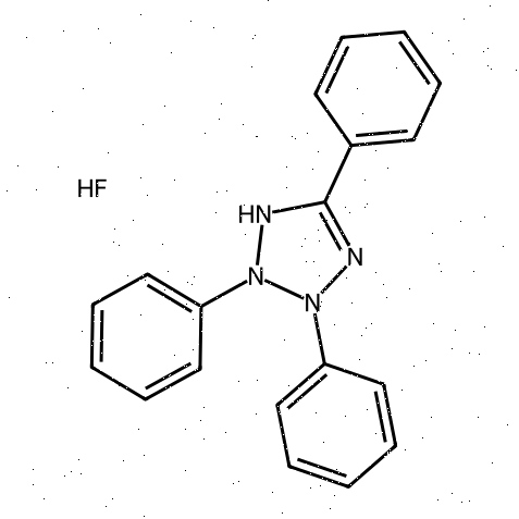 F.c1ccc(C2=NN(c3ccccc3)N(c3ccccc3)N2)cc1